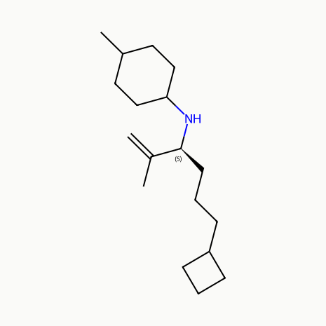 C=C(C)[C@H](CCCC1CCC1)NC1CCC(C)CC1